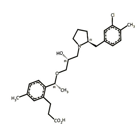 Cc1ccc([C@@H](C)OC[C@H](O)CN2CCC[C@H]2Cc2ccc(C)c(Cl)c2)c(CCC(=O)O)c1